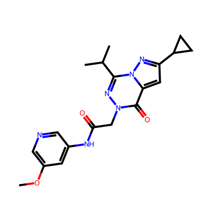 COc1cncc(NC(=O)Cn2nc(C(C)C)n3nc(C4CC4)cc3c2=O)c1